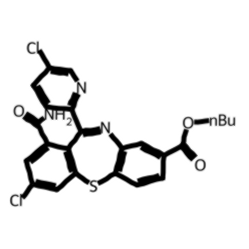 CCCCOC(=O)c1ccc2c(c1)N=C(c1ccc(Cl)cn1)c1c(cc(Cl)cc1C(N)=O)S2